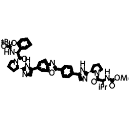 COC(=O)N[C@H](C(=O)N1CCC[C@H]1c1ncc(-c2ccc(-c3nc4ccc(-c5cnc([C@@H]6CCCN6C(=O)[C@H](NC(=O)OC(C)(C)C)c6ccccc6)[nH]5)cc4o3)cc2)[nH]1)C(C)C